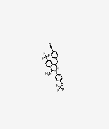 N#Cc1ccc(C/C(=N/N(C(N)=O)c2ccc(OC(F)(F)F)cc2)c2cccc(C(F)(F)F)c2)cc1